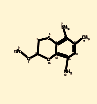 CCCOC1CSc2c(N)c(C)cc(N)c2O1